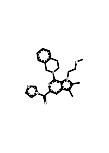 COCCn1c(C)c(C)c2cc(C(=O)n3ccnc3)nc(N3CCc4ccccc4C3)c21